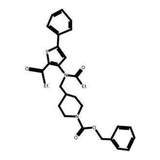 CCC(=O)c1sc(-c2ccccc2)cc1N(CC1CCN(C(=O)OCc2ccccc2)CC1)C(=O)CC